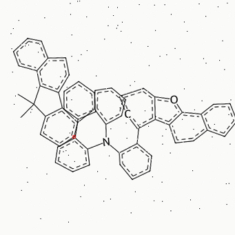 CC1(C)c2cccc(-c3ccccc3N(c3ccccc3-c3ccccc3)c3ccccc3-c3cccc4oc5c6ccccc6ccc5c34)c2-c2ccc3ccccc3c21